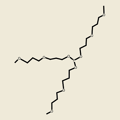 COCCCOCCCOP(OCCCOCCCOC)OCCCOCCCOC